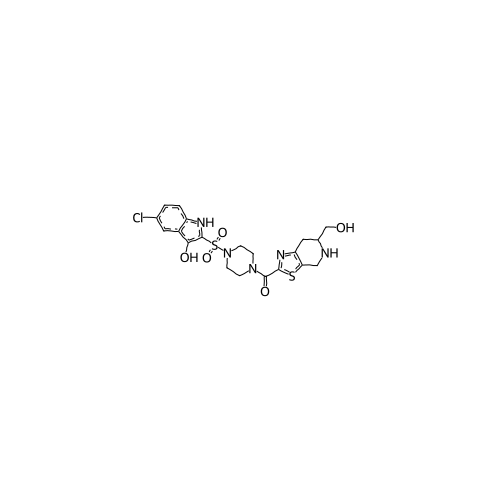 O=C(c1nc2c(s1)CNC(CO)C2)N1CCN(S(=O)(=O)c2[nH]c3ccc(Cl)cc3c2O)CC1